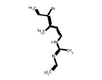 C=C/N=C(\C)N/C=C\C(C)=C(\C=C)C(C)C